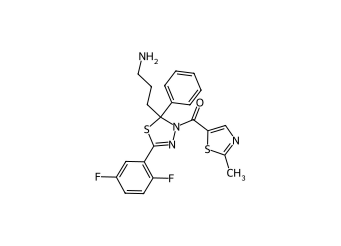 Cc1ncc(C(=O)N2N=C(c3cc(F)ccc3F)SC2(CCCN)c2ccccc2)s1